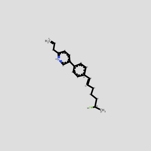 C=CCc1ccc(-c2ccc(C=CCCCC(C)F)cc2)cn1